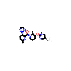 Cc1ccc(-n2nccn2)c(C(=O)N2CCC[C@@H](Oc3ncc(C(F)(F)F)cn3)[C@@H]2C)n1